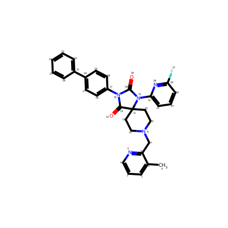 Cc1cccnc1CN1CCC2(CC1)C(=O)N(c1ccc(-c3ccccc3)cc1)C(=O)N2c1cccc(F)n1